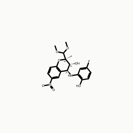 COC(OC)[C@]1(C)Oc2ccc([N+](=O)[O-])cc2[C@H](Nc2cc(F)ccc2O)[C@H]1O